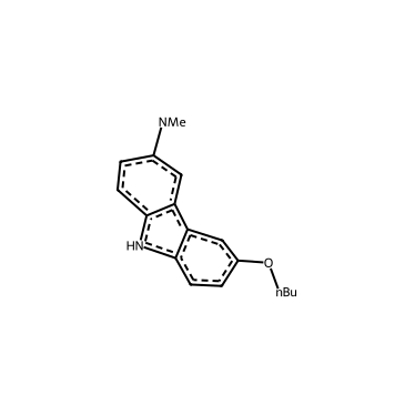 CCCCOc1ccc2[nH]c3ccc(NC)cc3c2c1